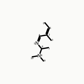 C/C=C(C)\C=N/C(C)N(C)C